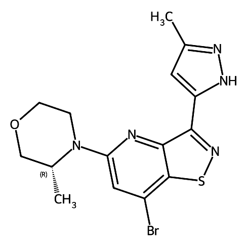 Cc1cc(-c2nsc3c(Br)cc(N4CCOC[C@H]4C)nc23)[nH]n1